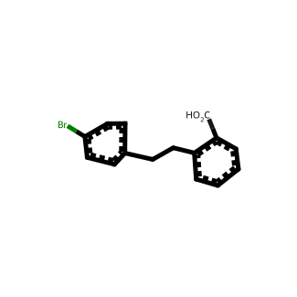 O=C(O)c1ccccc1CCc1ccc(Br)cc1